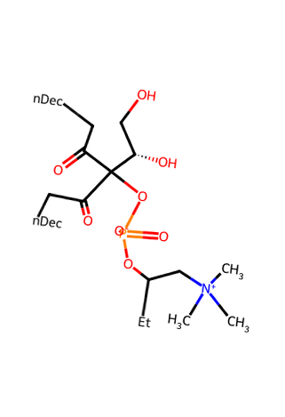 CCCCCCCCCCCC(=O)C(OP(=O)([O-])OC(CC)C[N+](C)(C)C)(C(=O)CCCCCCCCCCC)[C@@H](O)CO